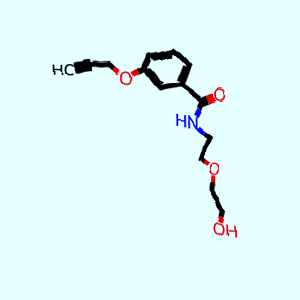 C#CCOc1cccc(C(=O)NCCOCCO)c1